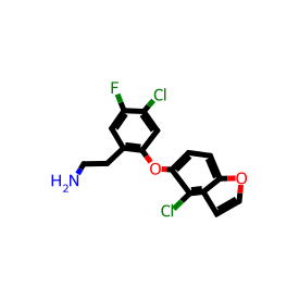 NCCc1cc(F)c(Cl)cc1Oc1ccc2occc2c1Cl